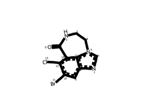 O=C1NCCn2cnc3cc(Br)c(Cl)c1c32